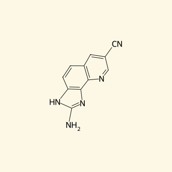 N#Cc1cnc2c(ccc3[nH]c(N)nc32)c1